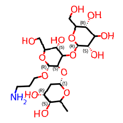 CC1O[C@@H](O[C@H]2C(O[C@H]3OC(CO)[C@H](O)C(O)[C@@H]3O)[C@@H](O)C(CO)O[C@H]2OCCCN)C[C@@H](O)[C@@H]1O